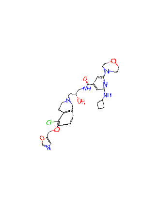 O=C(NCC(O)CN1CCc2c(ccc(OCc3cnco3)c2Cl)C1)c1cc(NC2CCC2)nc(N2CCOCC2)c1